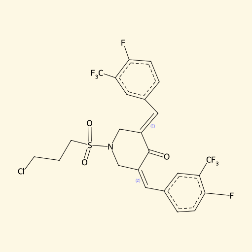 O=C1/C(=C\c2ccc(F)c(C(F)(F)F)c2)CN(S(=O)(=O)CCCCl)C/C1=C\c1ccc(F)c(C(F)(F)F)c1